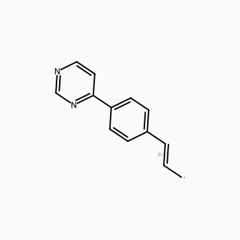 [CH2]/C=C/c1ccc(-c2ccncn2)cc1